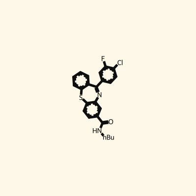 CCCCNC(=O)c1ccc2c(c1)N=C(c1ccc(Cl)c(F)c1)c1ccccc1S2